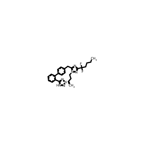 C=CCCn1nc(C(F)(F)CCCC)nc1Cc1ccc(-c2ccccc2-c2nnn[nH]2)cc1